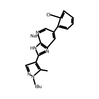 Cc1c(-c2nc3cc(-c4ccccc4Cl)cnc3[nH]2)cnn1C(C)(C)C.[NaH]